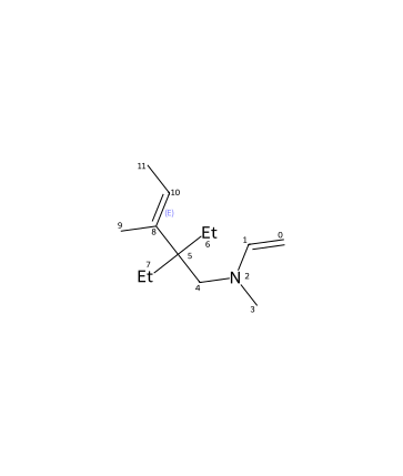 C=CN(C)CC(CC)(CC)/C(C)=C/C